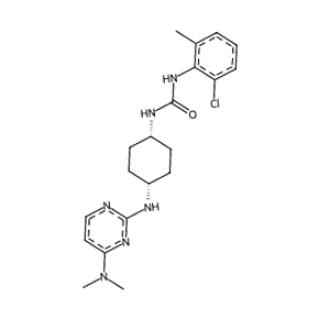 Cc1cccc(Cl)c1NC(=O)N[C@H]1CC[C@@H](Nc2nccc(N(C)C)n2)CC1